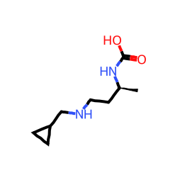 C[C@@H](CCNCC1CC1)NC(=O)O